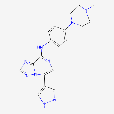 CN1CCN(c2ccc(Nc3ncc(-c4cn[nH]c4)n4ncnc34)cc2)CC1